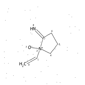 C=C[N+]1([O-])CCCC1=N